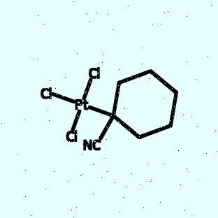 N#C[C]1([Pt]([Cl])([Cl])[Cl])CCCCC1